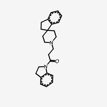 O=C(CCN1CCC2(CCc3ccccc32)CC1)N1CCc2ccccc21